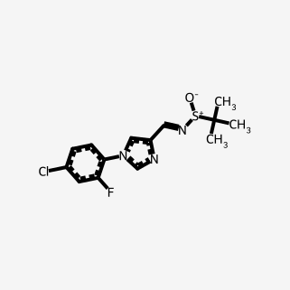 CC(C)(C)[S+]([O-])/N=C/c1cn(-c2ccc(Cl)cc2F)cn1